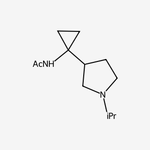 CC(=O)NC1(C2CCN(C(C)C)C2)CC1